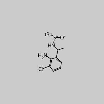 CC(N[S+]([O-])C(C)(C)C)c1cccc(Cl)c1N